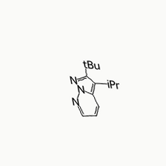 CC(C)c1c(C(C)(C)C)nn2ncccc12